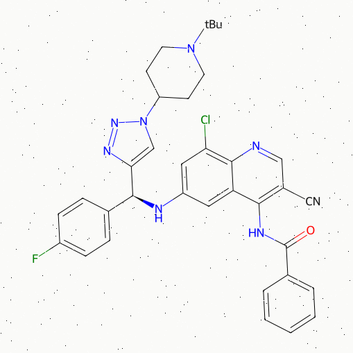 CC(C)(C)N1CCC(n2cc([C@@H](Nc3cc(Cl)c4ncc(C#N)c(NC(=O)c5ccccc5)c4c3)c3ccc(F)cc3)nn2)CC1